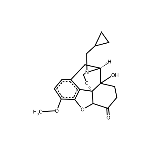 COc1ccc2c3c1OC1C(=O)CCC4(O)[C@H](C2)N(CC2CC2)CC[C@@]314